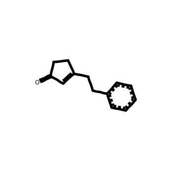 O=C1C=C(CCc2ccccc2)CC1